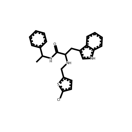 CC(NC(=O)C(Cc1c[nH]c2ccccc12)NCc1ccc(Cl)s1)c1ccccc1